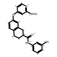 CC(=O)Nc1cc(Oc2ccc3c(c2)CC(C(=O)Nc2cccc(C(C)C)c2)CC3)ccn1